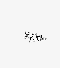 CC(C)NC1CCC(NS(C)(=O)=O)CC1